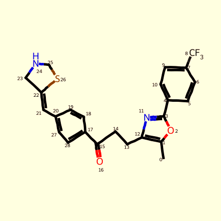 Cc1oc(-c2ccc(C(F)(F)F)cc2)nc1CCC(=O)c1ccc(C=C2CNCS2)cc1